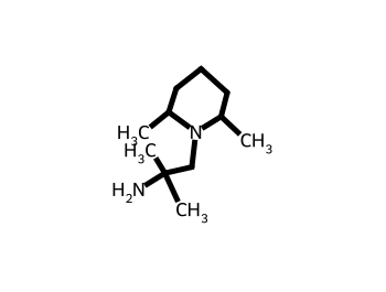 CC1CCCC(C)N1CC(C)(C)N